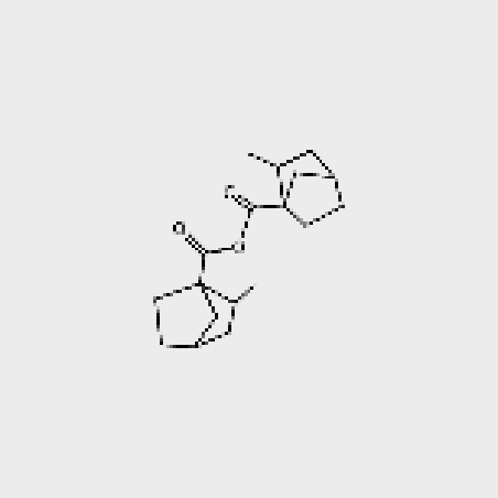 CC1CC2CCC1(C(=O)OC(=O)C13CCC(CC1C)C3)C2